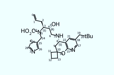 C=CC[C@@H]([C@H](O)CN[C@H]1CC2(CCC2)Oc2ncc(CC(C)(C)C)cc21)N(Cc1cncs1)C(=O)O